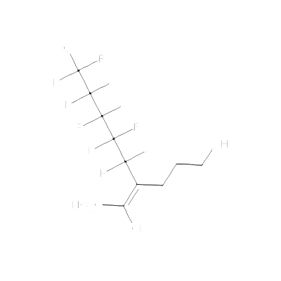 CC(C(=O)O)=C(CCCO)C(F)(F)C(F)(F)C(F)(F)C(F)(F)C(F)(F)C(F)(F)F